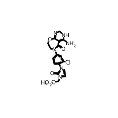 NC1=C2C(=O)N(c3ccc(-n4ccn(CC(=O)O)c4=O)c(Cl)c3)CCOC2=NCN1